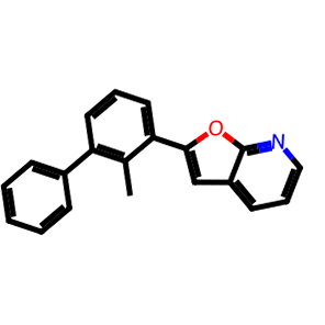 Cc1c(-c2ccccc2)cccc1-c1cc2cccnc2o1